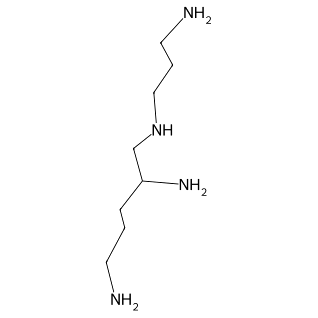 NCCCNCC(N)CCCN